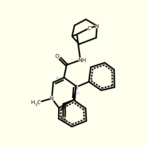 CN(/C=C(\C=C/C=O)C(=O)NC1CN2CCC1CC2)c1ccccc1Sc1ccccc1